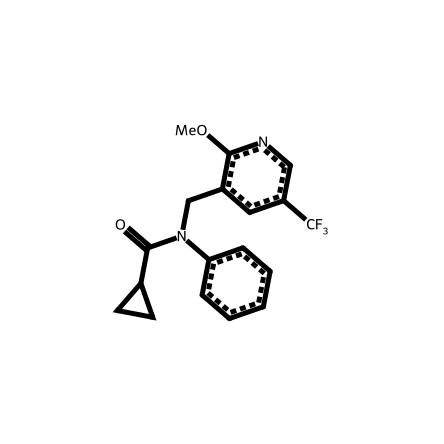 COc1ncc(C(F)(F)F)cc1CN(C(=O)C1CC1)c1ccccc1